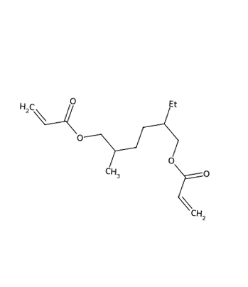 C=CC(=O)OCC(C)CCC(CC)COC(=O)C=C